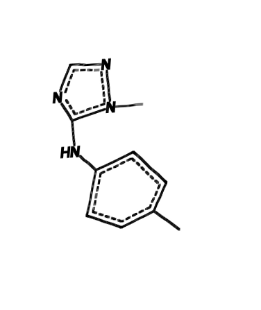 Cc1ccc(Nc2ncnn2C)cc1